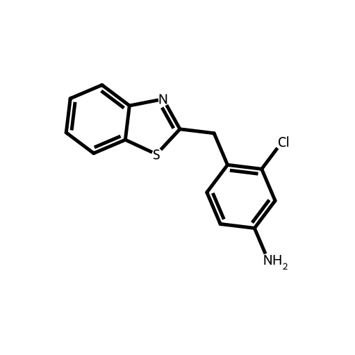 Nc1ccc(Cc2nc3ccccc3s2)c(Cl)c1